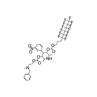 CC1NC(C)C(OC(=O)OCCN(C)Cc2ccccc2)C(C2C=CCC([N+](=O)[O-])=C2)C1OC(=O)OCCCC(F)(F)C(F)(F)C(F)(F)C(F)(F)C(F)(F)C(F)(F)F